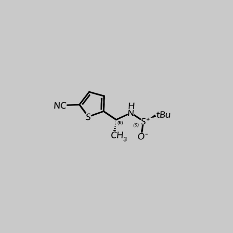 C[C@@H](N[S@+]([O-])C(C)(C)C)c1ccc(C#N)s1